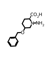 NN1CC(OCc2ccccc2)CC[C@H]1C(=O)O